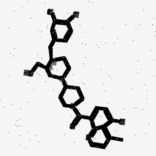 Cc1ccnc2c(C(=O)N3CCC(N4CC[C@H](Cc5ccc(Cl)c(Cl)c5)[C@H](CO)C4)CC3)ccc(Cl)c12